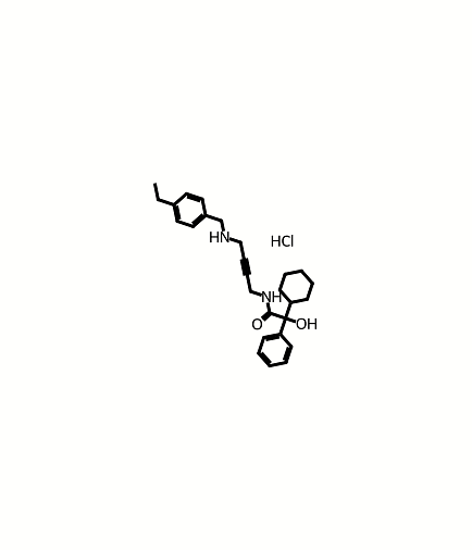 CCc1ccc(CNCC#CCNC(=O)C(O)(c2ccccc2)C2CCCCC2)cc1.Cl